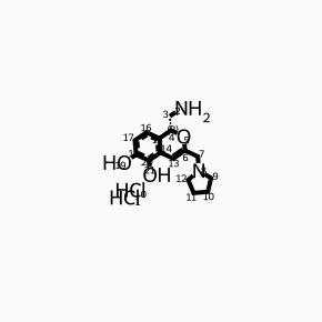 Cl.Cl.NC[C@@H]1OC(CN2CCCC2)=Cc2c1ccc(O)c2O